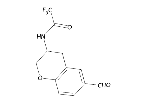 O=Cc1ccc2c(c1)CC(NC(=O)C(F)(F)F)CO2